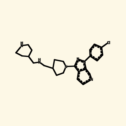 Clc1ccc(-n2nc(N3CCC(CNCC4CCNCC4)CC3)c3ccncc32)cc1